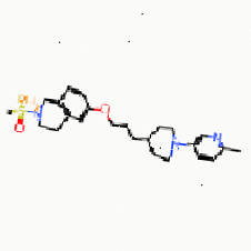 Cc1ccc(N2CCC(CCCOc3ccc4c(c3)CCN([SH](C)(=O)P)C4)CC2)cn1